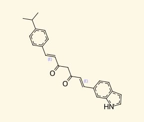 CC(C)c1ccc(/C=C/C(=O)CC(=O)/C=C/c2ccc3cc[nH]c3c2)cc1